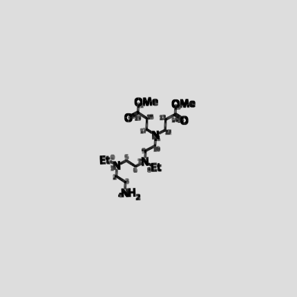 CCN(CCN)CCN(CC)CCN(CCC(=O)OC)CCC(=O)OC